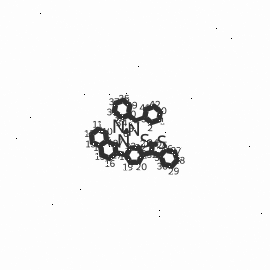 c1ccc(-c2nc(-n3c4c5ccccc5ccc4c4ccc5c(sc6sc7ccccc7c65)c43)nc3ccccc23)cc1